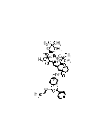 CCOC(=O)[C@@H]1CC[C@H](NC(=O)C2(CC(CNC(=O)C(C)(C)NC(=O)OC(C)(C)C)C(=O)OC(C)(C)C)CCCC2)C[C@@H]1CCc1ccccc1